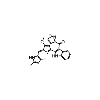 COC1=CC(c2[nH]c3ccccc3c2C(=O)c2ccon2)=N/C1=C\c1[nH]c(C)cc1C